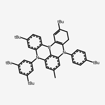 Cc1cc2c3c(c1)N(c1cc(C(C)(C)C)cc(C(C)(C)C)c1)c1cc(C(C)(C)C)ccc1B3C1=C(CCC(C(C)(C)C)=C1)N2c1ccc(C(C)(C)C)cc1